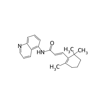 CC1=C(/C=C/C(=O)Nc2cccc3ncccc23)C(C)(C)CCC1